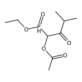 CCO[PH](=O)C(OC(C)=O)C(=O)C(C)C